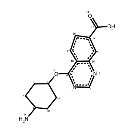 NC1CCC(Oc2ncnc3cc(C(=O)O)ccc23)CC1